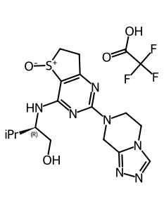 CC(C)[C@H](CO)Nc1nc(N2CCn3cnnc3C2)nc2c1[S+]([O-])CC2.O=C(O)C(F)(F)F